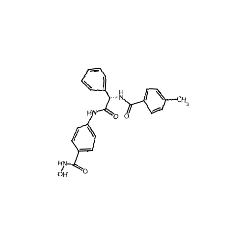 Cc1ccc(C(=O)N[C@H](C(=O)Nc2ccc(C(=O)NO)cc2)c2ccccc2)cc1